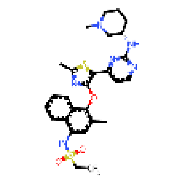 Cc1nc(Oc2c(C)cc(NS(=O)(=O)CC(F)(F)F)c3ccccc23)c(-c2ccnc(N[C@H]3CCCN(C)C3)n2)s1